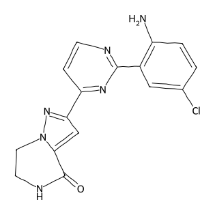 Nc1ccc(Cl)cc1-c1nccc(-c2cc3n(n2)CCNC3=O)n1